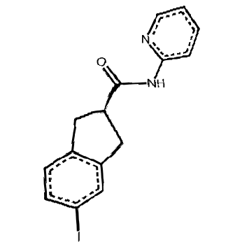 O=C(Nc1ccccn1)[C@@H]1Cc2ccc(I)cc2C1